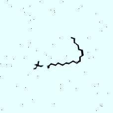 CCCCC/C=C\C/C=C\CCCCCCCC(=O)OCC(N)(CO)CO